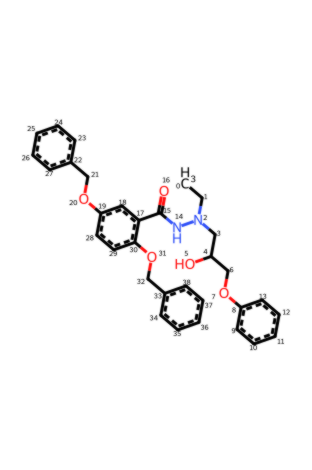 CCN(CC(O)COc1ccccc1)NC(=O)c1cc(OCc2ccccc2)ccc1OCc1ccccc1